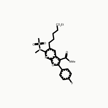 CCOC(=O)CCCCc1cc2c(C(=O)NC)c(-c3ccc(F)cc3)oc2nc1N(C)S(C)(=O)=O